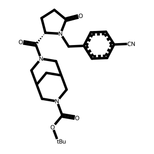 CC(C)(C)OC(=O)N1CC2CC(C1)CN(C(=O)[C@@H]1CCC(=O)N1Cc1ccc(C#N)cc1)C2